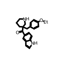 CCOc1ccc(CC2(C(=O)c3ccc4[nH]ccc4c3)CCCNC2)cc1